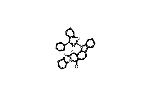 O=c1c2ccc3c4ccccc4n(-c4nc(-c5ccccc5)c5ccccc5n4)c3c2sc2nc3ccccc3n12